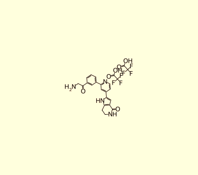 NCC(=O)c1cccc(-c2cc(-c3cc4c([nH]3)CCNC4=O)ccn2)c1.O=C(O)C(F)(F)F.O=C(O)C(F)(F)F